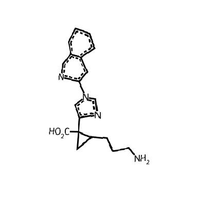 NCCCC1CC1(C(=O)O)c1cn(-c2cc3ccccc3cn2)cn1